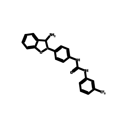 NC1c2ccccc2ON1c1ccc(NC(=O)Nc2cccc(C(F)(F)F)c2)cc1